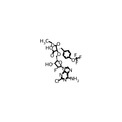 CCOC(=O)[C@@](Cc1ccc(OC(F)(F)F)cc1)(OC[C@H]1O[C@@H](n2cnc3c(N)nc(Cl)nc32)[C@@H](F)[C@@H]1O)C(=O)O